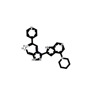 C=C(/C=c1/c(-c2cc3c(N4CCCCC4)cncc3[nH]2)n[nH]/c1=C/C)c1ccncc1